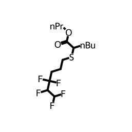 CCCCC(SCCCC(F)(F)C(F)C(F)F)C(=O)OCCC